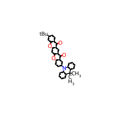 CC(C)(C)c1ccc2c(=O)c3cc4c(=O)c5cc(N6c7ccccc7C(C)(C)c7ccccc76)ccc5oc4cc3oc2c1